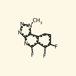 Cn1nnc2nc(F)c3c(F)c(F)ccc3c21